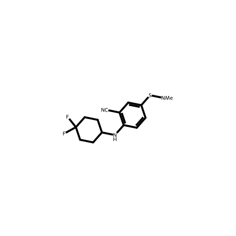 CNSc1ccc(NC2CCC(F)(F)CC2)c(C#N)c1